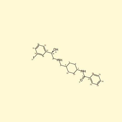 O=C(NC1CCC(CNC[C@H](O)c2cccc(F)c2)CC1)c1ccccc1